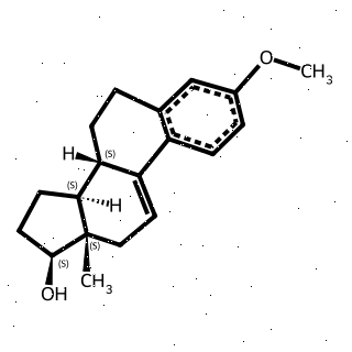 COc1ccc2c(c1)CC[C@@H]1C2=CC[C@]2(C)[C@@H](O)CC[C@@H]12